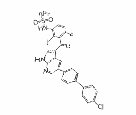 CCCS(=O)(=O)Nc1ccc(F)c(C(=O)c2c[nH]c3ncc(-c4ccc(-c5ccc(Cl)cc5)cc4)cc23)c1I